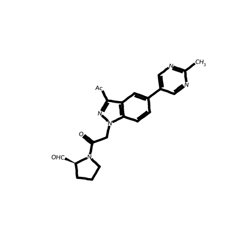 CC(=O)c1nn(CC(=O)N2CCC[C@H]2C=O)c2ccc(-c3cnc(C)nc3)cc12